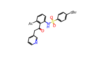 CC(=O)c1cccc(NS(=O)(=O)c2ccc(C(C)(C)C)cc2)c1C(=O)Cc1cccnc1